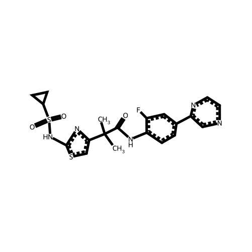 CC(C)(C(=O)Nc1ccc(-c2cnccn2)cc1F)c1csc(NS(=O)(=O)C2CC2)n1